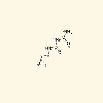 C=CCNC(=S)NC(N)=O